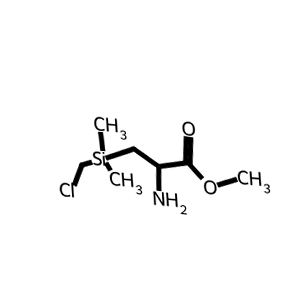 COC(=O)C(N)C[Si](C)(C)CCl